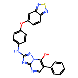 Oc1c(-c2ccccc2)cnc2nc(Nc3ccc(Oc4ccc5nsnc5c4)cc3)nn12